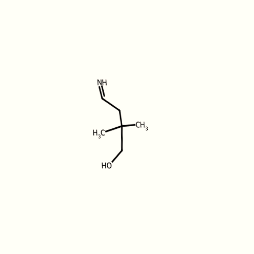 CC(C)(CO)CC=N